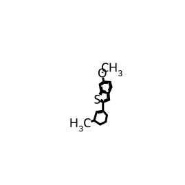 COc1ccc2cc(C3=CC(C)CCC3)sc2c1